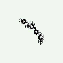 COc1ccc(NC(=O)N2CC/C(=C\c3cccc(Oc4ccc(C(F)(F)F)cn4)c3)C(C)C2)cn1